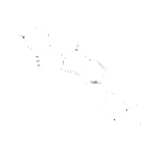 CC1(C)OB(c2ccn3c(=O)n(C4CCC(=O)NC4=O)nc3c2)OC1(C)C